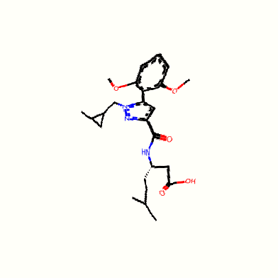 COc1cccc(OC)c1-c1cc(C(=O)N[C@@H](CCC(C)C)CC(=O)O)nn1CC1CC1C